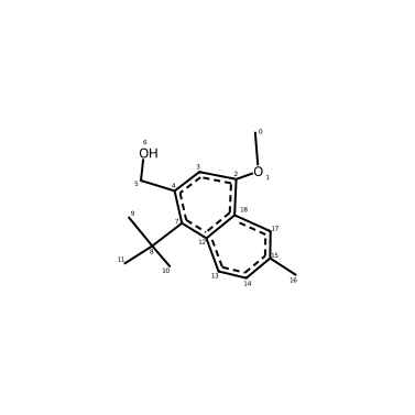 COc1cc(CO)c(C(C)(C)C)c2ccc(C)cc12